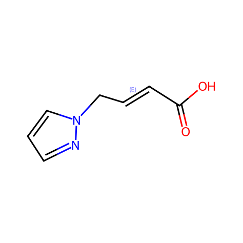 O=C(O)/C=C/Cn1cccn1